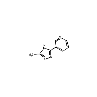 Cc1nnc(-c2cccnc2)[nH]1